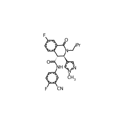 CC(C)CN1C(=O)c2cc(F)ccc2[C@@H](C(=O)Nc2ccc(F)c(C#N)c2)[C@@H]1c1cnn(C)c1